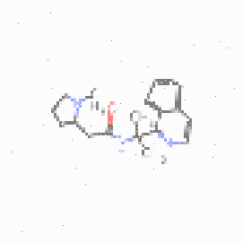 CN1CCCC1CC(=O)NC(C)(C)c1nccc2ccccc12